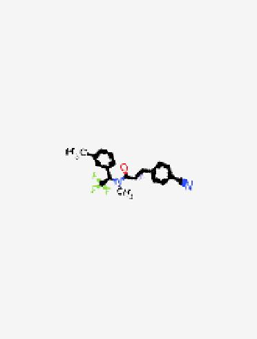 Cc1cccc(C(N(C)C(=O)/C=C/c2ccc(C#N)cc2)C(F)(F)F)c1